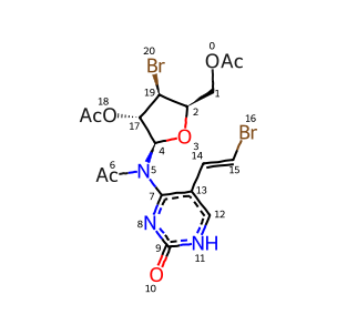 CC(=O)OC[C@H]1O[C@@H](N(C(C)=O)c2nc(=O)[nH]cc2C=CBr)[C@H](OC(C)=O)[C@H]1Br